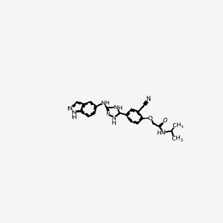 CC(C)NC(=O)COc1ccc(C2NN=C(Nc3ccc4[nH]ncc4c3)N2)cc1C#N